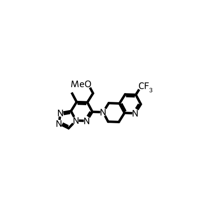 COCc1c(N2CCc3ncc(C(F)(F)F)cc3C2)nn2cnnc2c1C